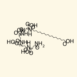 NC(=O)CC[C@H](NC(=O)CC[C@@H](COCO)NC(=O)CC[C@H](NC(=O)CC[C@H](NC(=O)CCCCCCCCCCCCCCCCC(=O)O)C(=O)O)C(=O)O)C(=O)O